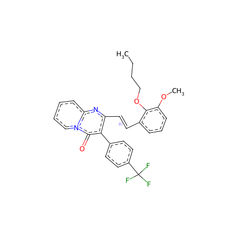 CCCCOc1c(/C=C/c2nc3ccccn3c(=O)c2-c2ccc(C(F)(F)F)cc2)cccc1OC